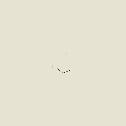 CCCO.[Nb].[Pr]